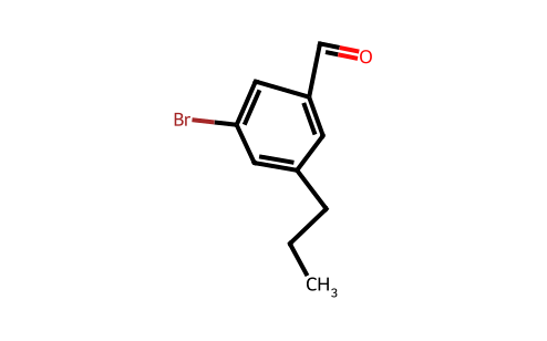 CCCc1cc(Br)cc(C=O)c1